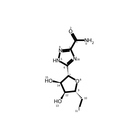 NC(=O)c1n[nH]c([C@@H]2O[C@H](CI)[C@@H](O)[C@H]2O)n1